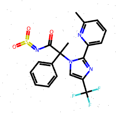 Cc1cccc(-c2nc(C(F)(F)F)cn2C(C)(C(=O)N=S(=O)=O)c2ccccc2)n1